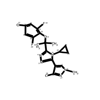 Cn1cc(-c2nnc(C(C)(C)Oc3c(F)cc(Cl)cc3F)n2C2CC2)c(Cl)n1